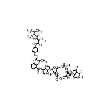 CC(C)[C@H](N)C(=O)N[C@@H](C)C(=O)Nc1ccc(COC(=O)N(C)Cc2ccccc2C(=O)Nc2ncnc3c2ncn3[C@@H]2O[C@@H]3COP(=O)(S)O[C@@H]4[C@H](O)[C@@H](CO[PH](=O)O[C@H]3[C@H]2F)O[C@H]4n2cc(F)c3c(=O)[nH]cnc32)cc1